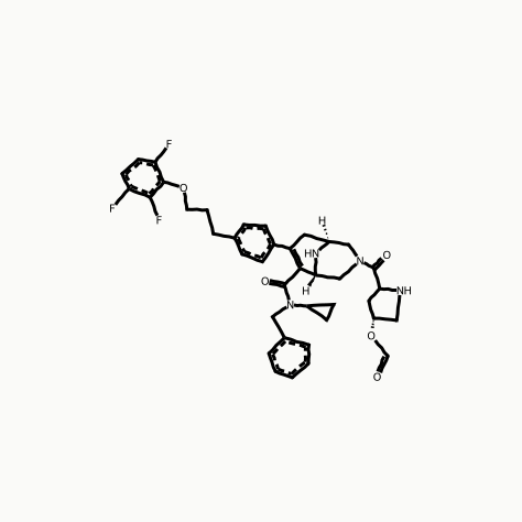 O=CO[C@H]1CNC(C(=O)N2C[C@@H]3CC(c4ccc(CCCOc5c(F)ccc(F)c5F)cc4)=C(C(=O)N(Cc4ccccc4)C4CC4)[C@@H](C2)N3)C1